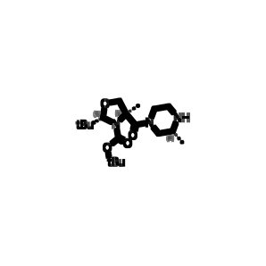 C[C@@H]1CN(C(=O)[C@]2(C)CO[C@@H](C(C)(C)C)N2C(=O)OC(C)(C)C)CCN1